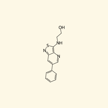 OCCNc1snc2cc(-c3ccccc3)cnc12